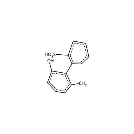 Cc1cccc(O)c1-c1ccccc1S(=O)(=O)O